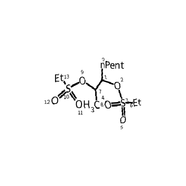 CCCCCC(OS(=O)(=O)CC)C(C)OS(=O)(=O)CC